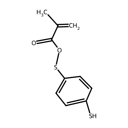 C=C(C)C(=O)OSc1ccc(S)cc1